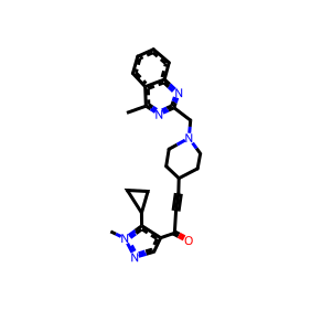 Cc1nc(CN2CCC(C#CC(=O)c3cnn(C)c3C3CC3)CC2)nc2ccccc12